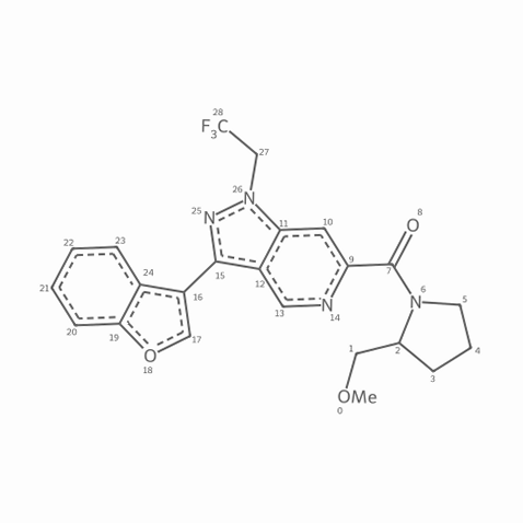 COCC1CCCN1C(=O)c1cc2c(cn1)c(-c1coc3ccccc13)nn2CC(F)(F)F